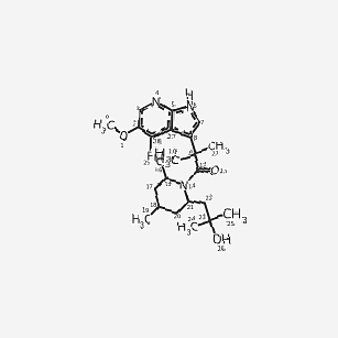 COc1cnc2[nH]cc(C(C)(C)C(=O)N3C(C)CC(C)CC3CC(C)(C)O)c2c1F